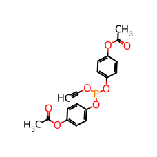 C#COP(Oc1ccc(OC(C)=O)cc1)Oc1ccc(OC(C)=O)cc1